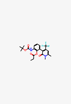 CCC(=O)Oc1c(NC(=O)OC(C)(C)C)cccc1-c1c(C(F)(F)F)cc(C)n(C)c1=O